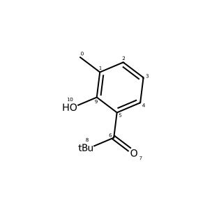 Cc1cccc(C(=O)C(C)(C)C)c1O